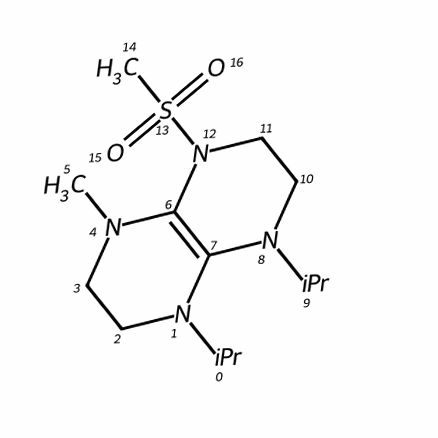 CC(C)N1CCN(C)C2=C1N(C(C)C)CCN2S(C)(=O)=O